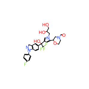 O=CN1CCOC(c2cc(C(O)(c3ccc4c(cnn4-c4ccc(F)cc4)c3)C(F)(F)F)cn2CC(O)CO)C1